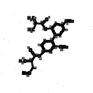 C=C(C)C(=O)Oc1cc(OC)ccc1-c1ccc(OC(=O)C(=C)COC)cc1OC